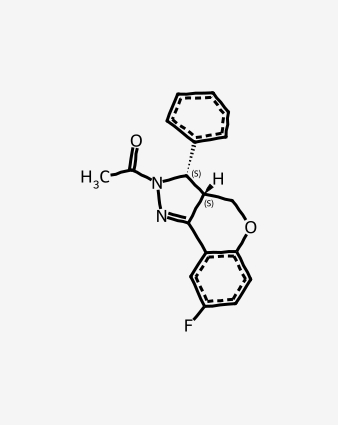 CC(=O)N1N=C2c3cc(F)ccc3OC[C@H]2[C@H]1c1ccccc1